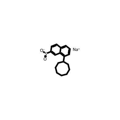 O=S([O-])c1ccc2cccc(C3CCCCCCC3)c2c1.[Na+]